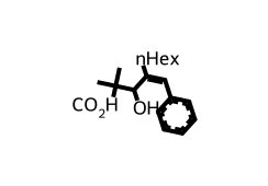 CCCCCC/C(=C/c1ccccc1)C(O)C(C)(C)C(=O)O